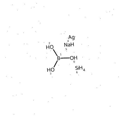 OB(O)O.[Ag].[NaH].[SiH4]